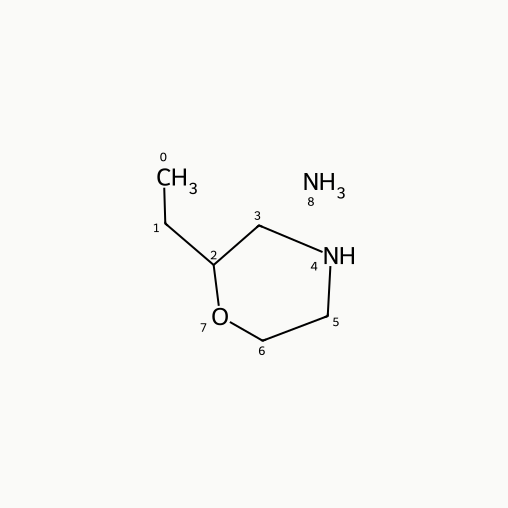 CCC1CNCCO1.N